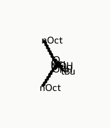 CCCCCCCC/C=C/CCCCCC/C=C/CCCC(=O)Oc1ccc(C(O)CNC(C)(C)C)cc1OC(=O)CCC/C=C/CCCCCC/C=C/CCCCCCCC.Cl